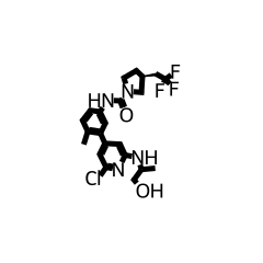 Cc1ccc(NC(=O)N2CC[C@@H](CC(F)(F)F)C2)cc1-c1cc(Cl)nc(NC(C)CO)c1